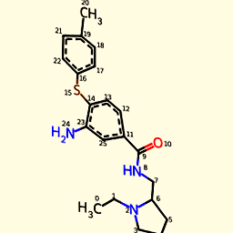 CCN1CCCC1CNC(=O)c1ccc(Sc2ccc(C)cc2)c(N)c1